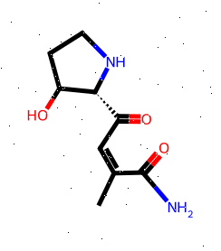 CC(=CC(=O)[C@H]1NCCC1O)C(N)=O